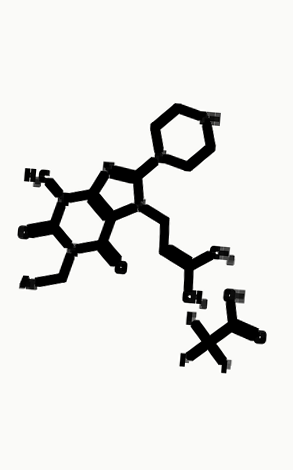 CC(=O)Cn1c(=O)c2c(nc(N3CCNCC3)n2CC=C(C)C)n(C)c1=O.O=C(O)C(F)(F)F